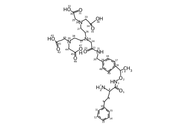 CC(ONC(=O)C(N)CCc1ccccc1)c1ccc(CNC(=O)CN(CCN(CC(=O)O)CC(=O)O)CCN(CC(=O)O)CC(=O)O)cc1